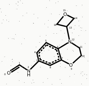 O=CNc1ccc2c(c1)OCCN2C1COC1